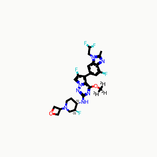 [2H]C([2H])([2H])Oc1nc(N[C@H]2CCN(C3COC3)C[C@@H]2F)nn2cc(F)c(-c3cc(F)c4nc(C)n(CC(F)F)c4c3)c12